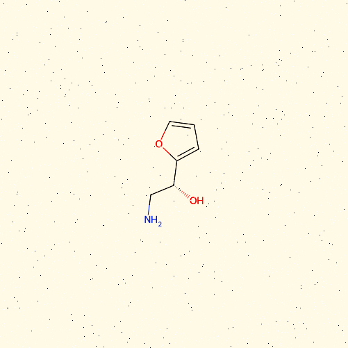 NC[C@@H](O)c1ccco1